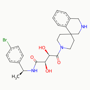 C[C@H](NC(=O)[C@H](O)[C@@H](O)C(=O)N1CCC2(CC1)CNCc1ccccc12)c1ccc(Br)cc1